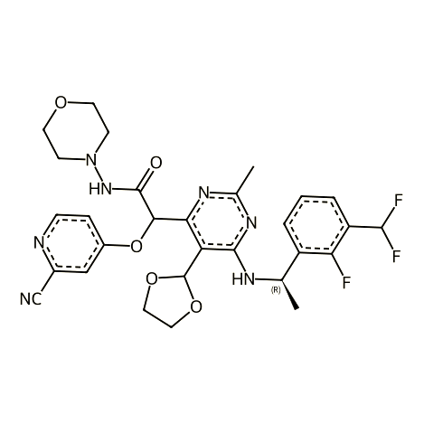 Cc1nc(N[C@H](C)c2cccc(C(F)F)c2F)c(C2OCCO2)c(C(Oc2ccnc(C#N)c2)C(=O)NN2CCOCC2)n1